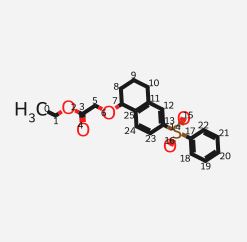 CCOC(=O)COC1CCCc2cc(S(=O)(=O)c3ccccc3)ccc21